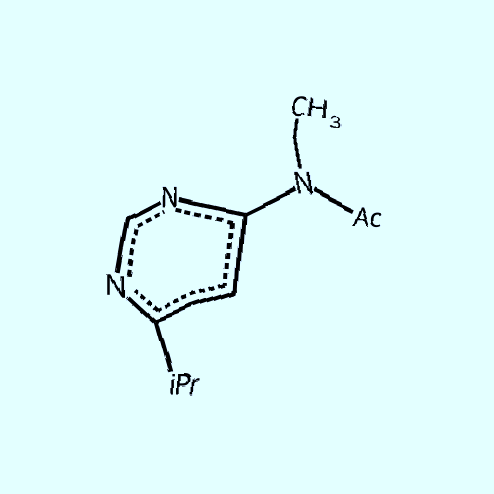 CC(=O)N(C)c1cc(C(C)C)ncn1